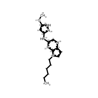 CCCCCCn1ccc2ncc(Nc3cc(OC)[nH]n3)nc21